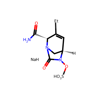 CCC1=C[C@@H]2CN(C(=O)N2OS(=O)(=O)O)[C@@H]1C(N)=O.[NaH]